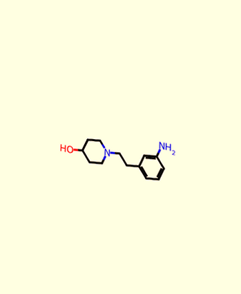 Nc1cccc(CCN2CCC(O)CC2)c1